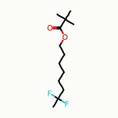 CC(F)(F)CCCCCCOC(=O)C(C)(C)C